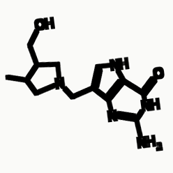 CC1CN(Cc2c[nH]c3c(=O)[nH]c(N)nc23)CC1CO